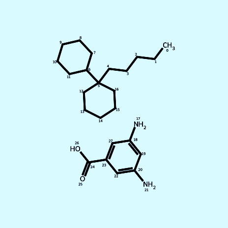 CCCCCC1(C2CCCCC2)CCCCC1.Nc1cc(N)cc(C(=O)O)c1